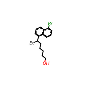 CCC(CCCCCO)c1cccc2c(Br)cccc12